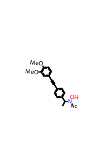 COc1ccc(C#Cc2ccc(C(C)N(O)C(C)=O)cc2)cc1OC